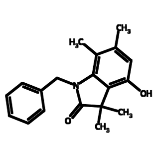 Cc1cc(O)c2c(c1C)N(Cc1ccccc1)C(=O)C2(C)C